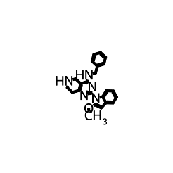 COc1cc2ccccc2n1-c1nc2c(c(NCc3ccccc3)n1)CNCC2